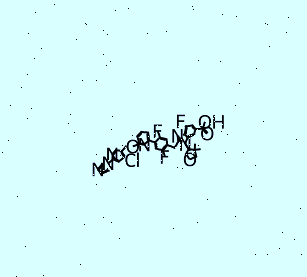 CC1(C)COCC1n1c(Cc2cc(F)c(-c3cccc(OCc4cnc(-n5ccnc5)cc4Cl)n3)cc2F)nc2c(F)cc(C(=O)O)cc21